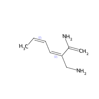 C=C(N)/C(=C\C=C/C)CN